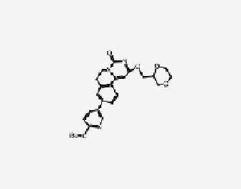 CCC(C)Oc1ccc(-c2ccc3c(c2)CCn2c-3cc(OCC3COCCO3)nc2=O)cn1